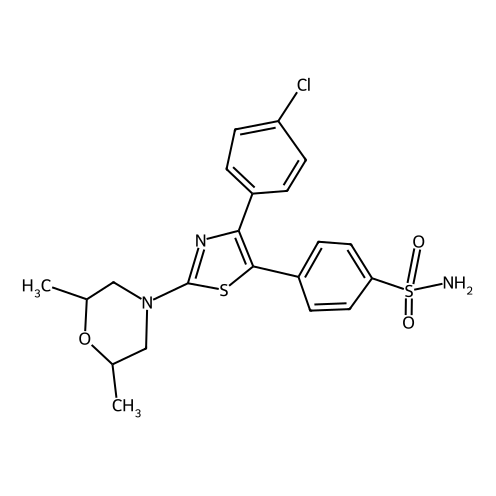 CC1CN(c2nc(-c3ccc(Cl)cc3)c(-c3ccc(S(N)(=O)=O)cc3)s2)CC(C)O1